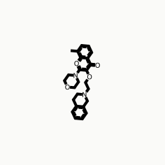 Cc1cccc2c(=O)c(OCCN3CCc4ccccc4C3)c(N3CCOCC3)oc12